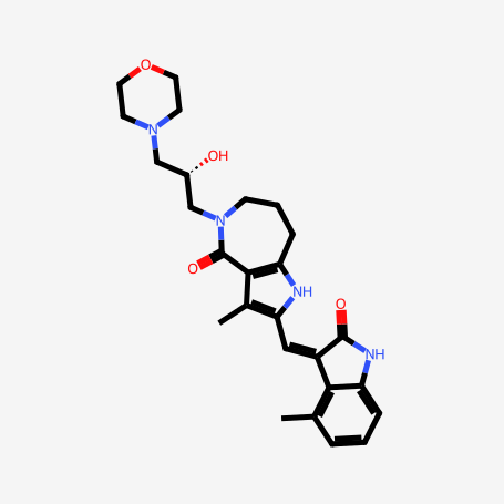 Cc1cccc2c1C(=Cc1[nH]c3c(c1C)C(=O)N(C[C@@H](O)CN1CCOCC1)CCC3)C(=O)N2